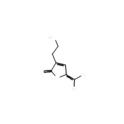 O=C1OC(=C(Br)Br)C=C1CCO